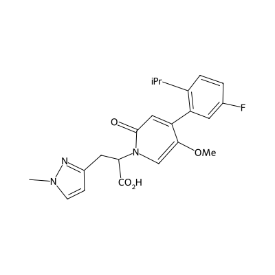 COc1cn(C(Cc2ccn(C)n2)C(=O)O)c(=O)cc1-c1cc(F)ccc1C(C)C